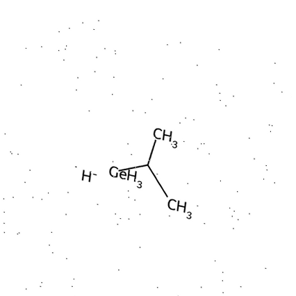 C[CH](C)[GeH3].[H-]